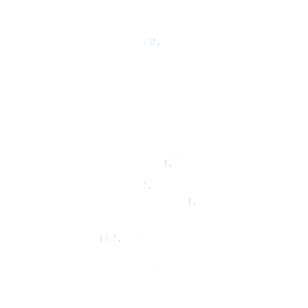 NC(=O)c1ncn(-c2ccc3[nH]ccc3c2)n1